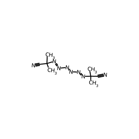 CC(C)(C#N)N=NN=NN=NC(C)(C)C#N